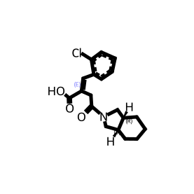 O=C(O)/C(=C/c1ccccc1Cl)CC(=O)N1C[C@H]2CCCC[C@H]2C1